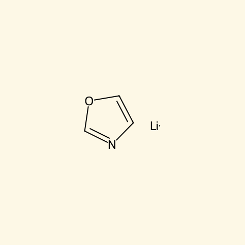 [Li].c1cocn1